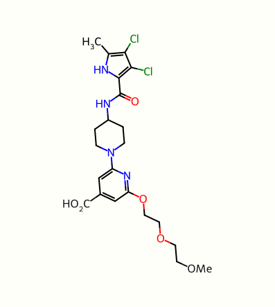 COCCOCCOc1cc(C(=O)O)cc(N2CCC(NC(=O)c3[nH]c(C)c(Cl)c3Cl)CC2)n1